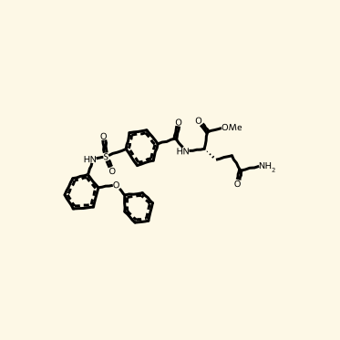 COC(=O)[C@H](CCC(N)=O)NC(=O)c1ccc(S(=O)(=O)Nc2ccccc2Oc2ccccc2)cc1